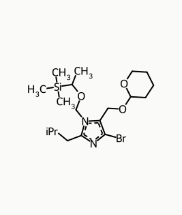 CC(C)Cc1nc(Br)c(COC2CCCCO2)n1COC(C)[Si](C)(C)C